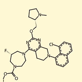 CN1CCC[C@H]1COc1nc2c(c(N3CCN(C(=O)OC(C)(C)C)C[C@H](F)C3)n1)CCN(c1cccc3cccc(Cl)c13)C2